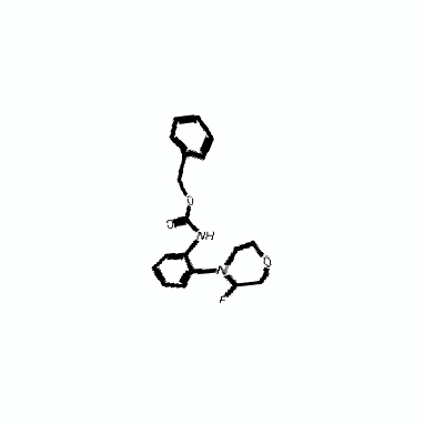 O=C(Nc1ccccc1N1CCOCC1F)OCc1ccccc1